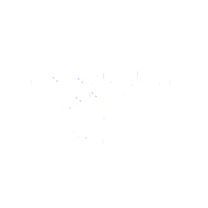 C=C(CCC)c1cccc(NC(=C)N2CCCN(C)c3ccc(-c4cccc(C(F)(F)F)c4)nc32)c1